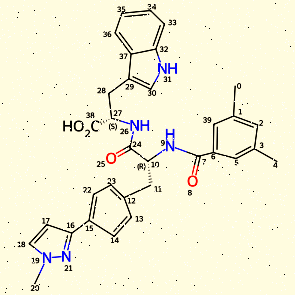 Cc1cc(C)cc(C(=O)N[C@H](Cc2ccc(-c3ccn(C)n3)cc2)C(=O)N[C@@H](Cc2c[nH]c3ccccc23)C(=O)O)c1